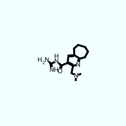 CN(C)Cc1nc2c(cc1C(=O)NC(=N)N)CCCCC2